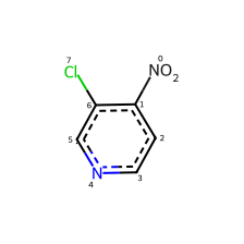 O=[N+]([O-])c1ccn[c]c1Cl